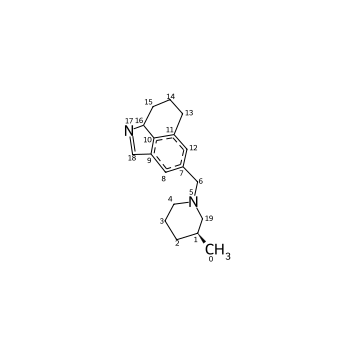 C[C@H]1CCCN(Cc2cc3c4c(c2)CCCC4N=C3)C1